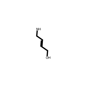 [NH]CC=CCO